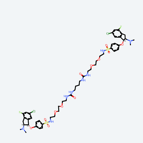 CN(C)C1Cc2c(F)cc(Cl)cc2[C@@H]1Oc1ccc(S(=O)(=O)NCCOCCOCCNC(=O)NCCCCNC(=O)NCCOCCOCCNS(=O)(=O)c2ccc(O[C@H]3c4cc(Cl)cc(F)c4C[C@@H]3N(C)C)cc2)cc1